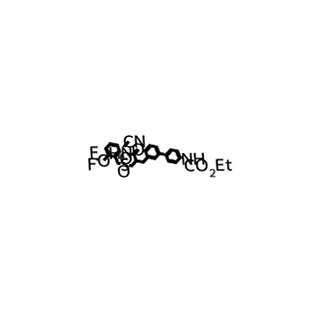 CCOC(=O)Nc1ccc(-c2cccc(CC(CS(=O)(=O)Cc3ccccc3OC(F)F)C(=O)NCC#N)c2)cc1